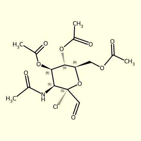 CC(=O)N[C@H]1[C@@H](OC(C)=O)[C@H](OC(C)=O)[C@@H](COC(C)=O)O[C@@]1(Cl)C=O